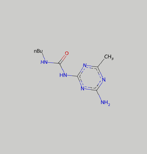 CCCCNC(=O)Nc1nc(C)nc(N)n1